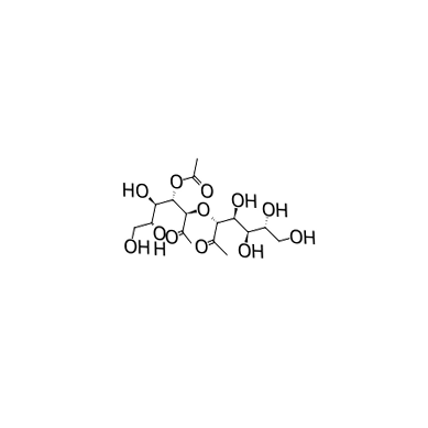 CC(=O)O[C@@H]([C@H](O)[C@H](O)CO)[C@@H](O[C@@H](C(C)=O)[C@@H](O)[C@H](O)[C@H](O)CO)C(C)=O